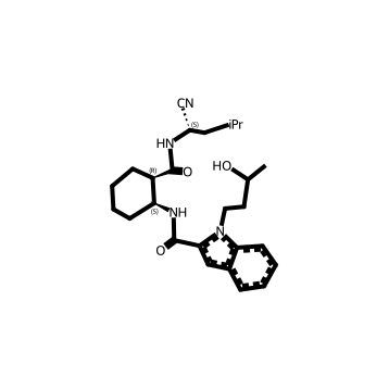 CC(C)C[C@@H](C#N)NC(=O)[C@@H]1CCCC[C@@H]1NC(=O)c1cc2ccccc2n1CCC(C)O